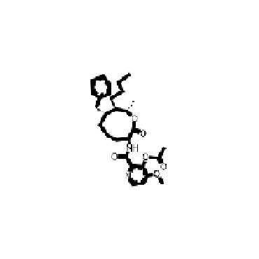 CCCC[C@@H]1[C@@H](Cc2ccccc2)CCC[C@H](NC(=O)c2nccc(OC)c2OC(C)=O)C(=O)O[C@H]1C